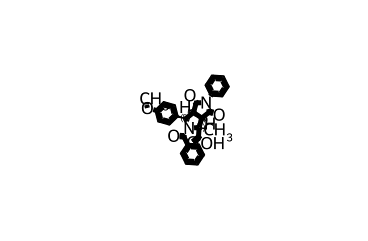 COc1ccc([C@H]2[C@H]3C(=O)N(c4ccccc4)C(=O)[C@H]3[C@@](C)(C(=O)O)N2C(=O)c2ccccc2)cc1